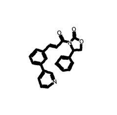 O=C(/C=C/c1cccc(-c2cccnc2)c1)N1C(=O)OCC1c1ccccc1